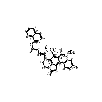 C=N/C(=N\C=C(/C)Oc1nccc2ccccc12)N1CCn2c(C)cc3c(-c4ccc(C)cc4)c([C@H](OC(C)(C)C)C(=O)O)c(C)c1c32